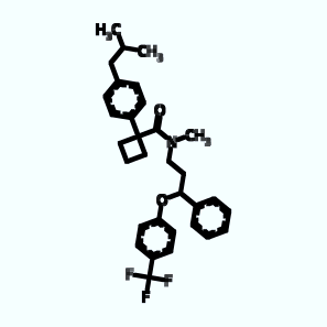 CC(C)Cc1ccc(C2(C(=O)N(C)CCC(Oc3ccc(C(F)(F)F)cc3)c3ccccc3)CCC2)cc1